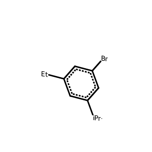 CCc1cc(Br)cc([C](C)C)c1